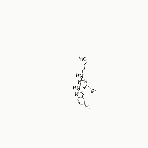 CCc1ccc2nc(Nc3cc(CC(C)C)nc(NCCCCCO)n3)sc2c1